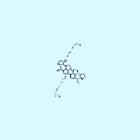 CCCCCCCCOc1cccc2c1-c1ccc3c4ccc5c6c(ccc(c7c(OCCCCCCCC)cc(c1c37)C2=O)c64)C(=O)c1ccccc1-5